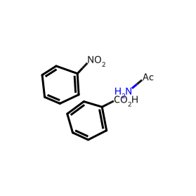 CC(N)=O.O=C(O)c1ccccc1.O=[N+]([O-])c1ccccc1